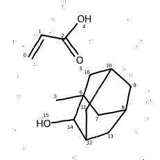 C=CC(=O)O.CC12CC3CC(CC(C3)C1O)C2